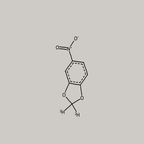 [2H]C1([2H])Oc2ccc([N+](=O)[O-])cc2O1